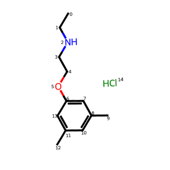 CCNCCOc1cc(C)cc(C)c1.Cl